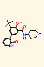 COc1c(C(=O)NC2CCN(C)CC2)cc(-c2ccc[nH]c2=O)cc1C(C)(C)C